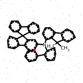 CC1(C)c2ccccc2-c2cccc(N(c3ccc4c(c3)C3(c5ccccc5-c5ccccc53)c3ccccc3-4)c3ccccc3-c3ccccc3)c21